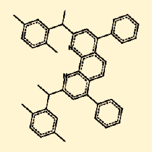 Cc1ccc(C)c(C(C)c2cc(-c3ccccc3)c3ccc4c(-c5ccccc5)cc(C(C)c5cc(C)ccc5C)nc4c3n2)c1